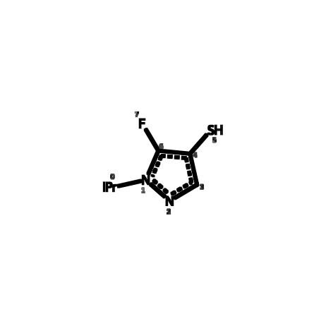 CC(C)n1ncc(S)c1F